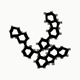 c1cc(-c2ccc3ccccc3c2)cc(N(c2ccc(-c3ccc4oc5ccccc5c4c3)cc2)c2cccc3oc4c5ccccc5ccc4c23)c1